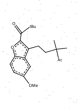 COc1ccc2oc(C(=O)C(C)(C)C)c(CCC(C)(C)C(C)=O)c2c1